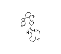 Fc1cccc(-n2ncc(C3=C(c4ccsc4)C(c4c(F)cccc4Cl)=NC3)c2C(F)(F)F)c1